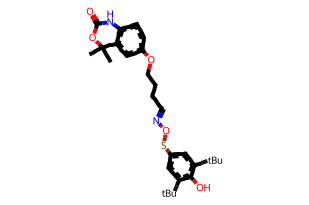 CC(C)(C)c1cc(SON=CCCCOc2ccc3c(c2)C(C)(C)OC(=O)N3)cc(C(C)(C)C)c1O